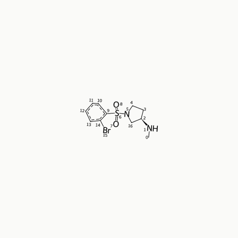 CN[C@@H]1CCN(S(=O)(=O)c2ccccc2Br)C1